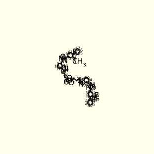 CCc1cc(-c2nc(-c3cccc4c3cnn4CCCC(=O)OC(=O)CCCn3ncc4c(-c5noc(-c6ccc(-c7ccccc7)c(C(F)(F)F)c6)n5)cccc43)no2)ccc1N1CCCCC1